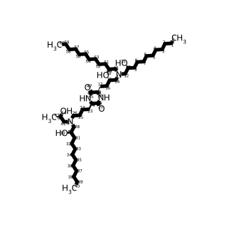 CCCCCCCCCC[C@@H](O)CN(CCCC[C@@H]1NC(=O)[C@@H](CCCCN(C[C@H](O)CCCCCCCCCC)C[C@H](C)O)NC1=O)C[C@@H](O)CCCCCCCCCC